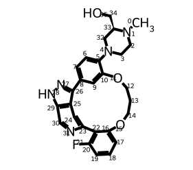 CN1CCN(c2ccc3cc2OCCCOc2cccc(F)c2-c2cc4c-3n[nH]c4cn2)C[C@H]1CO